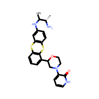 CCCC(Nc1ccc2c(c1)Sc1cccc(C3CN(c4ccc[nH]c4=O)CCO3)c1S2)[C@H](C)N